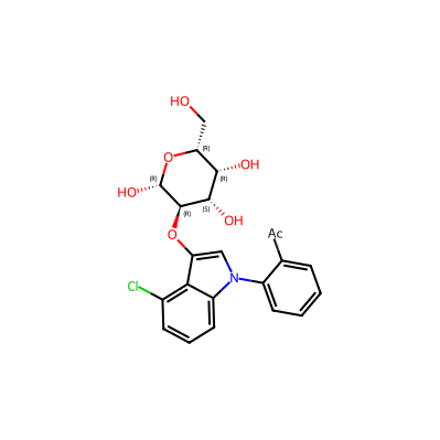 CC(=O)c1ccccc1-n1cc(O[C@@H]2[C@@H](O)[C@@H](O)[C@@H](CO)O[C@H]2O)c2c(Cl)cccc21